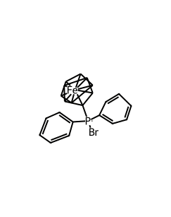 Br[P](c1ccccc1)(c1ccccc1)[C]12[CH]3[CH]4[CH]5[CH]1[Fe]45321678[CH]2[CH]1[CH]6[CH]7[CH]28